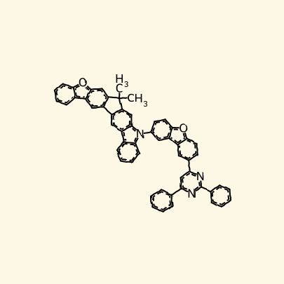 CC1(C)c2cc3oc4ccccc4c3cc2-c2cc3c4ccccc4n(-c4ccc5oc6ccc(-c7cc(-c8ccccc8)nc(-c8ccccc8)n7)cc6c5c4)c3cc21